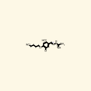 Cl.N#CCCCCOc1ccc(/C=N/NC(=N)N)cc1Cl